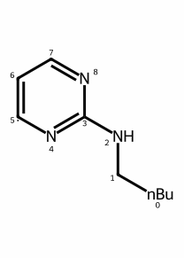 CCCCCNc1n[c]ccn1